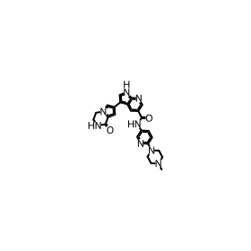 CN1CCN(c2ccc(NC(=O)c3cnc4[nH]cc(-c5cc6n(c5)CCNC6=O)c4c3)cn2)CC1